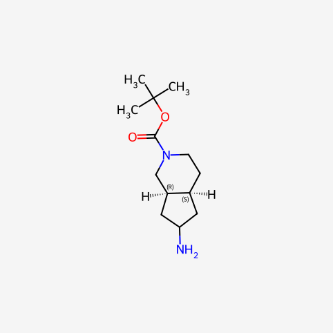 CC(C)(C)OC(=O)N1CC[C@H]2CC(N)C[C@H]2C1